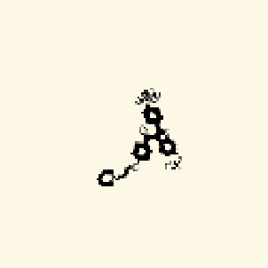 CCCCSc1ccc2c(C(=O)c3ccc(OCCN4CCCCC4)cc3)c(-c3ccc(S(=O)(=O)CCCC)cc3)sc2c1